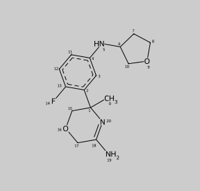 CC1(c2cc(NC3CCOC3)ccc2F)COCC(N)=N1